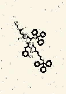 C=CCOC(=O)C[C@H](O)[C@H](NC(=O)C(CSC(c1ccccc1)(c1ccccc1)c1ccccc1)NC(=O)C(Cc1cccc(C#N)c1)NC(=O)CC(O)C=CCCSC(c1ccccc1)(c1ccccc1)c1ccccc1)C(C)C